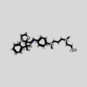 CN(CCS)CCCN(C)c1ccc(/C=C/C23OCCN2c2ccccc2C3(C)C)cc1